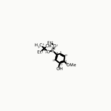 CCOB(OC(C)(C)CC)c1ccc(OC)c(O)c1